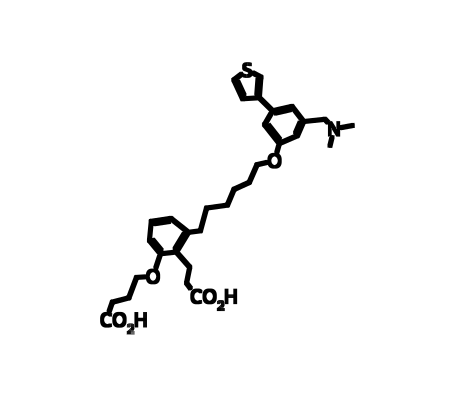 CN(C)Cc1cc(OCCCCCCc2cccc(OCCCC(=O)O)c2CCC(=O)O)cc(-c2ccsc2)c1